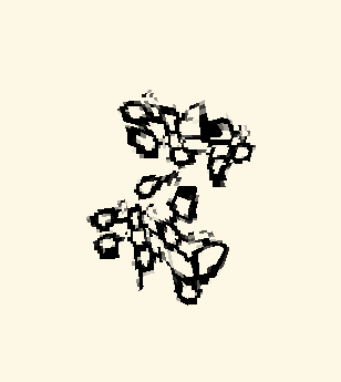 Cc1cc2c3c(c1)N(c1ccccc1)c1c4c(c(-c5cccc(N(c6ccccc6)c6cc7c8c(c6)N(c6ccccc6)c6c9c(cc%10oc%11ccccc%11c6%10)Oc6cc%10oc%11ccccc%11c%10c(c6B89)N7c6ccccc6)c5)c5oc6ccccc6c15)Oc1cc5oc6ccccc6c5c(c1B34)N2c1ccccc1